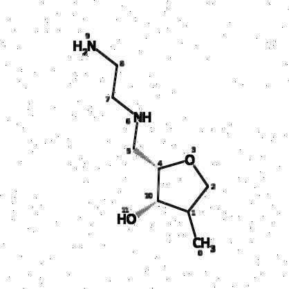 CC1CO[C@@H](CNCCN)[C@H]1O